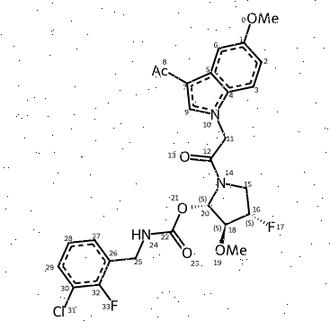 COc1ccc2c(c1)c(C(C)=O)cn2CC(=O)N1C[C@H](F)[C@@H](OC)[C@@H]1OC(=O)NCc1cccc(Cl)c1F